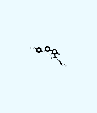 C=CCON=C(CC)C1=C(O)C(c2cccc(Oc3ccc(C)cc3)c2)CCC1=O